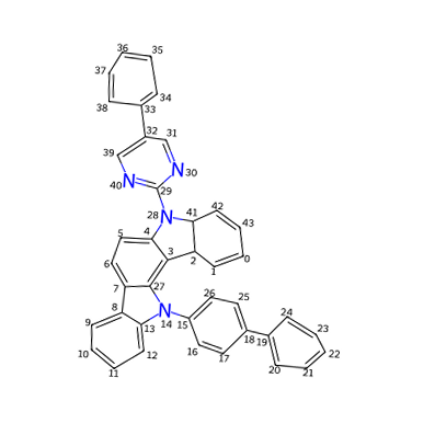 C1=CC2c3c(ccc4c5ccccc5n(-c5ccc(-c6ccccc6)cc5)c34)N(c3ncc(-c4ccccc4)cn3)C2C=C1